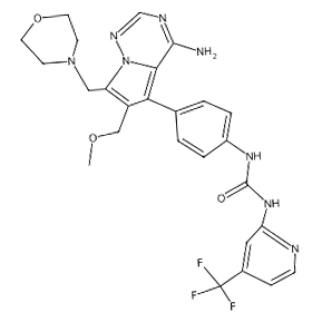 COCc1c(-c2ccc(NC(=O)Nc3cc(C(F)(F)F)ccn3)cc2)c2c(N)ncnn2c1CN1CCOCC1